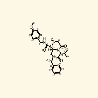 COc1ccc(CNC(=O)N2[C@H]3CN([C@@H](C)c4ccccc4)C(=O)[C@H](C(C)C)N3C(=O)CN2C)cc1